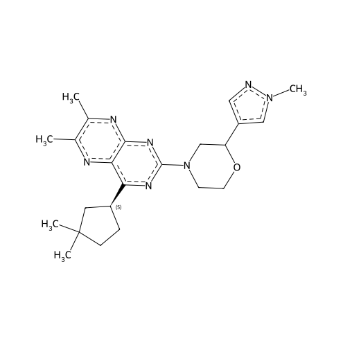 Cc1nc2nc(N3CCOC(c4cnn(C)c4)C3)nc([C@H]3CCC(C)(C)C3)c2nc1C